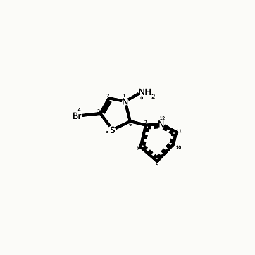 NN1C=C(Br)SC1c1ccccn1